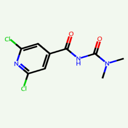 CN(C)C(=O)NC(=O)c1cc(Cl)nc(Cl)c1